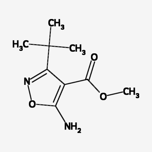 COC(=O)c1c(C(C)(C)C)noc1N